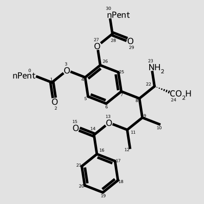 CCCCCC(=O)Oc1ccc(C(C(C)C(C)OC(=O)c2ccccc2)[C@H](N)C(=O)O)cc1OC(=O)CCCCC